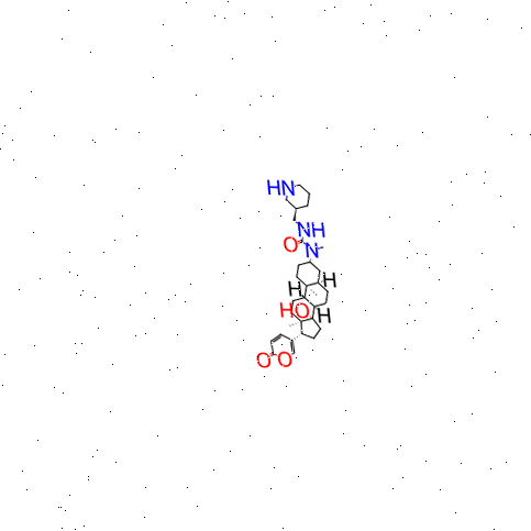 CN(C(=O)NC[C@@H]1CCCNC1)[C@H]1CC[C@@]2(C)[C@H](CC[C@@H]3[C@@H]2CC[C@]2(C)[C@@H](c4ccc(=O)oc4)CC[C@]32O)C1